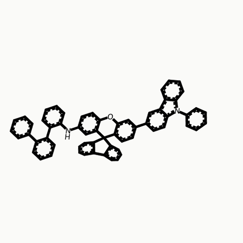 c1ccc(-c2ccccc2-c2ccccc2Nc2ccc3c(c2)C2(c4ccc(-c5ccc6c(c5)c5ccccc5n6-c5ccccc5)cc4O3)c3ccccc3-c3ccccc32)cc1